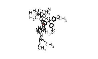 CCCCN(C=Nc1nnnc2c1ncn2[C@H]1C[C@H](OP(OCCC#N)N(C(C)C)C(C)C)[C@@H](COC(c2ccccc2)(c2ccc(OC)cc2)c2ccc(OC)cc2)O1)CCCC